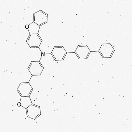 c1ccc(-c2ccc(-c3ccc(N(c4ccc(-c5ccc6oc7ccccc7c6c5)cc4)c4ccc5oc6ccccc6c5c4)cc3)cc2)cc1